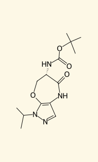 CC(C)n1ncc2c1OC[C@H](NC(=O)OC(C)(C)C)C(=O)N2